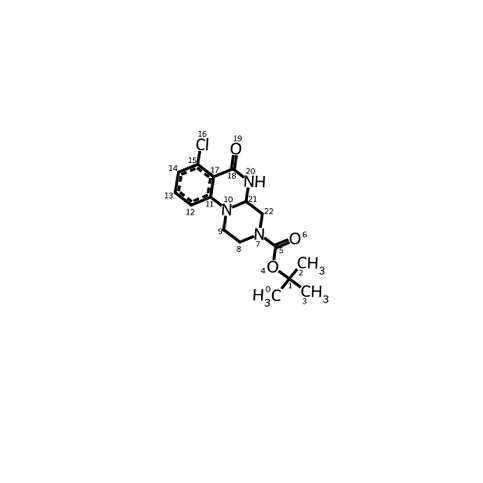 CC(C)(C)OC(=O)N1CCN2c3cccc(Cl)c3C(=O)NC2C1